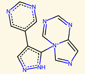 C1=NC=NC2=CN=C[N+]12c1[nH]ncc1-c1cncnc1